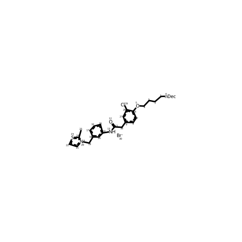 CCCCCCCCCCCCCCOc1ccc(CC(=O)Nc2cccc(C[n+]3ccsc3C)c2)cc1Cl.[Br-]